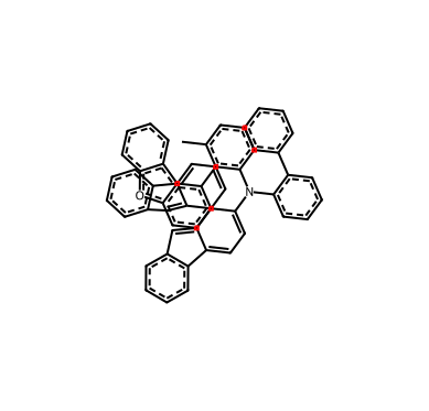 Cc1cccc(N(C2=CC=C3C(=Cc4ccccc43)C23C=CC=C2C3=Cc3ccccc32)c2ccccc2-c2ccccc2)c1-c1cccc2oc3ccccc3c12